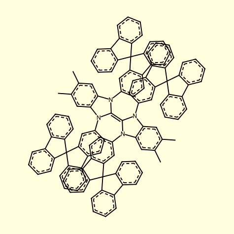 Cc1cc2c(cc1C)N(c1ccc3c(c1)C1(c4ccccc4-c4ccccc41)c1ccccc1-3)C(=C1N(c3ccc4c(c3)C3(c5ccccc5-c5ccccc53)c3ccccc3-4)c3cc(C)c(C)cc3N1c1ccc3c(c1)C1(c4ccccc4-c4ccccc41)c1ccccc1-3)N2c1ccc2c(c1)C1(c3ccccc3-c3ccccc31)c1ccccc1-2